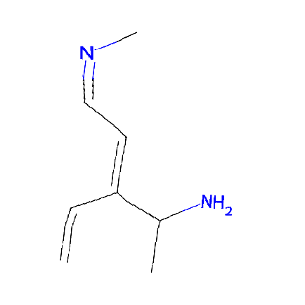 C=C/C(=C\C=N/C)C(C)N